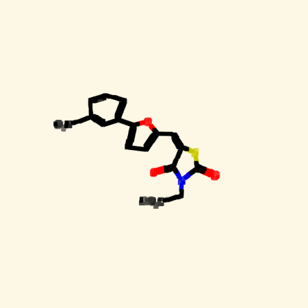 CCOC(=O)CN1C(=O)SC(=Cc2ccc(-c3cccc([N+](=O)[O-])c3)o2)C1=O